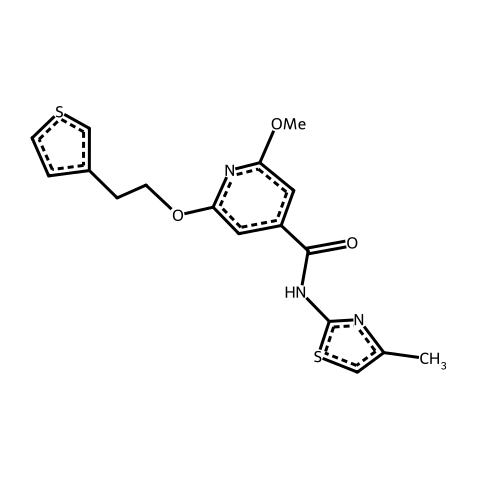 COc1cc(C(=O)Nc2nc(C)cs2)cc(OCCc2ccsc2)n1